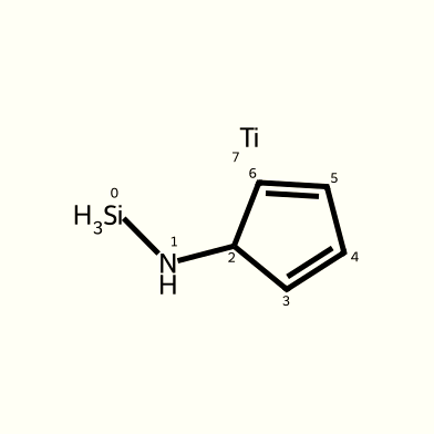 [SiH3]NC1C=CC=C1.[Ti]